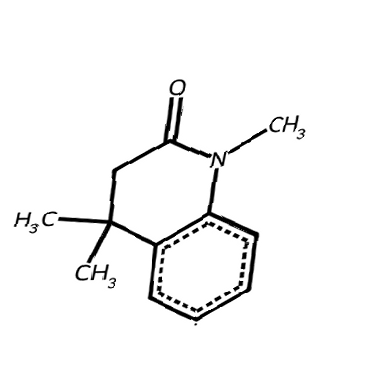 CN1C(=O)CC(C)(C)c2c[c]ccc21